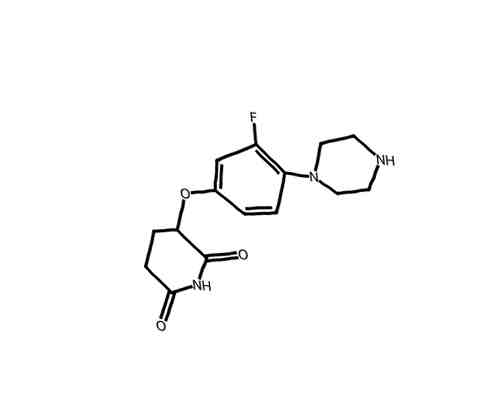 O=C1CCC(Oc2ccc(N3CCNCC3)c(F)c2)C(=O)N1